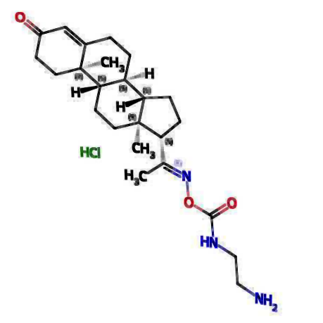 C/C(=N\OC(=O)NCCN)[C@H]1CC[C@H]2[C@@H]3CCC4=CC(=O)CC[C@]4(C)[C@H]3CC[C@]12C.Cl